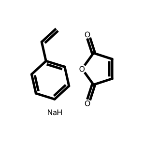 C=Cc1ccccc1.O=C1C=CC(=O)O1.[NaH]